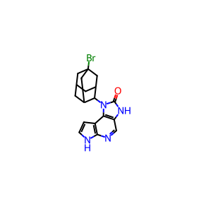 O=c1[nH]c2cnc3[nH]ccc3c2n1C1C2CC3CC1CC(Br)(C3)C2